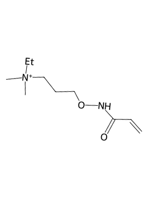 C=CC(=O)NOCCC[N+](C)(C)CC